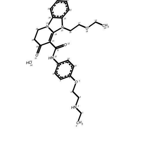 CCNCCOc1ccc(NC(=O)C2=C3N(CCOCC)c4ccccc4N3CCC2=O)cc1.Cl